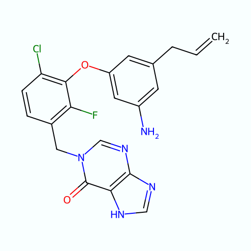 C=CCc1cc(N)cc(Oc2c(Cl)ccc(Cn3cnc4nc[nH]c4c3=O)c2F)c1